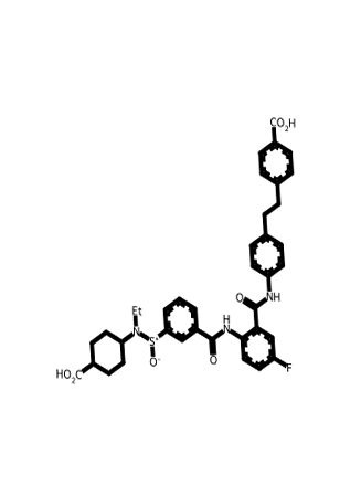 CCN(C1CCC(C(=O)O)CC1)[S+]([O-])c1cccc(C(=O)Nc2ccc(F)cc2C(=O)Nc2ccc(CCc3ccc(C(=O)O)cc3)cc2)c1